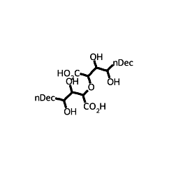 CCCCCCCCCCC(O)C(O)C(OC(C(=O)O)C(O)C(O)CCCCCCCCCC)C(=O)O